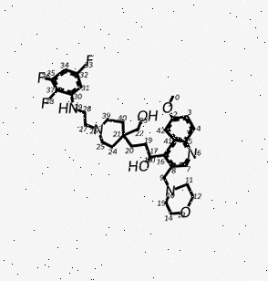 COc1ccc2ncc(CN3CCOCC3)c([C@H](O)CCC3(CO)CCN(CCNc4cc(F)cc(F)c4F)CC3)c2c1